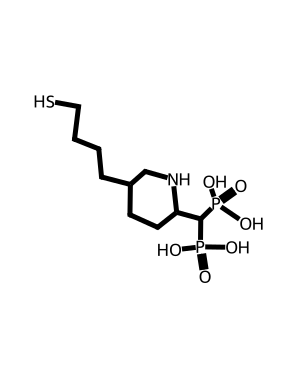 O=P(O)(O)C(C1CCC(CCCCS)CN1)P(=O)(O)O